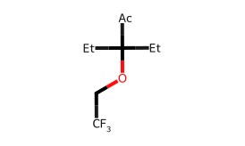 CCC(CC)(OCC(F)(F)F)C(C)=O